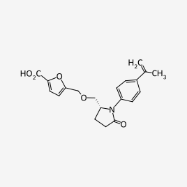 C=C(C)c1ccc(N2C(=O)CC[C@@H]2COCc2ccc(C(=O)O)o2)cc1